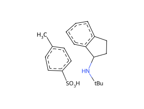 CC(C)(C)NC1CCc2ccccc21.Cc1ccc(S(=O)(=O)O)cc1